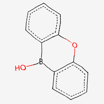 OB1c2ccccc2Oc2ccccc21